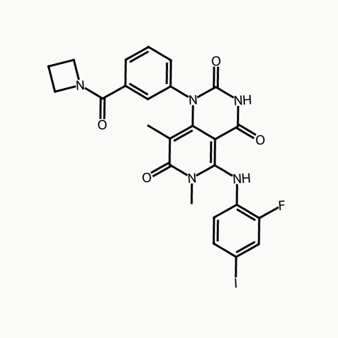 Cc1c(=O)n(C)c(Nc2ccc(I)cc2F)c2c(=O)[nH]c(=O)n(-c3cccc(C(=O)N4CCC4)c3)c12